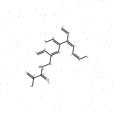 C=CC(=C/C=C\C)/C(/C=C(\C=C)CNC(=O)C(=C)C)=C/C